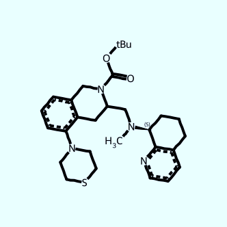 CN(CC1Cc2c(cccc2N2CCSCC2)CN1C(=O)OC(C)(C)C)[C@H]1CCCc2cccnc21